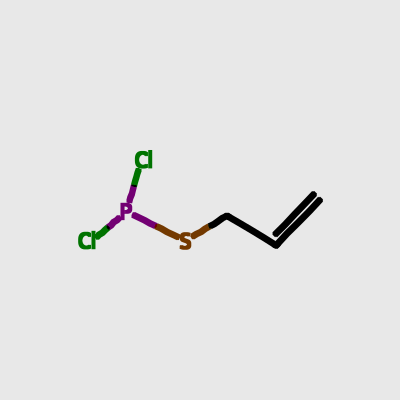 C=CCSP(Cl)Cl